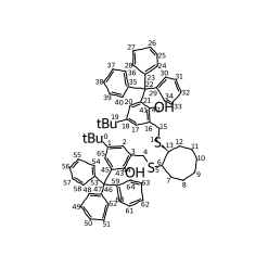 CC(C)(C)c1cc(CSC2CCCCCC[C@@H]2SCc2cc(C(C)(C)C)cc(C(c3ccccc3)(c3ccccc3)c3ccccc3)c2O)c(O)c(C(c2ccccc2)(c2ccccc2)c2ccccc2)c1